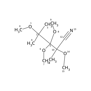 COC(C)(C)C(OC)(OC)C(C)(C#N)OC